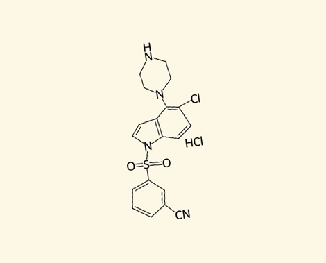 Cl.N#Cc1cccc(S(=O)(=O)n2ccc3c(N4CCNCC4)c(Cl)ccc32)c1